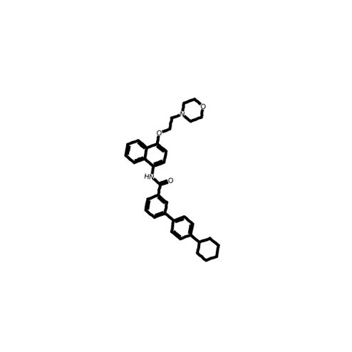 O=C(Nc1ccc(OCCN2CCOCC2)c2ccccc12)c1cccc(-c2ccc(C3CCCCC3)cc2)c1